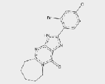 O=c1c2nc(-c3ccc(Cl)cc3Br)[nH]c2nc2n1CCCCC2